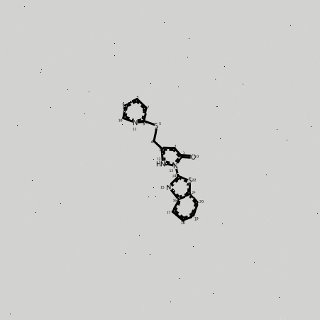 O=c1cc(CSc2ccccn2)[nH]n1-c1nc2ccccc2s1